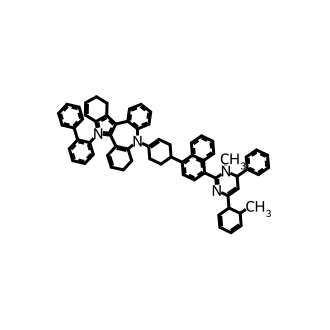 CC1C=CC=CC1C1=CC(c2ccccc2)N(C)C(c2ccc(C3CC=C(N4C5=C(C=CCC5)c5c(c6c(n5-c5ccccc5-c5ccccc5)C=CCC6)-c5ccccc54)CC3)c3ccccc23)=N1